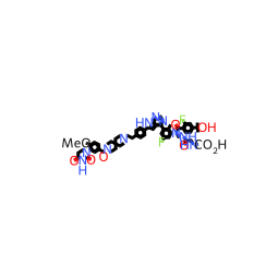 COc1ccc(C(=O)N2CCC3(CCN(CCc4ccc(-c5cc6c(-c7cc(F)cc(N(CNC(=O)CNC(=O)O)C(=O)c8ccc(C(C)(C)O)cc8F)c7C)ncnc6[nH]5)cc4)CC3)CC2)cc1N1CCC(=O)NC1=O